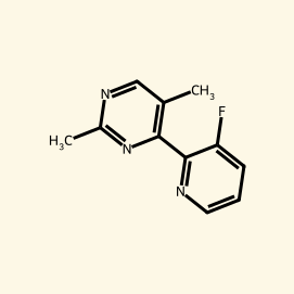 Cc1ncc(C)c(-c2ncccc2F)n1